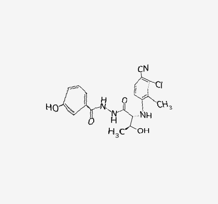 Cc1c(N[C@@H](C(=O)NNC(=O)c2cccc(O)c2)[C@H](C)O)ccc(C#N)c1Cl